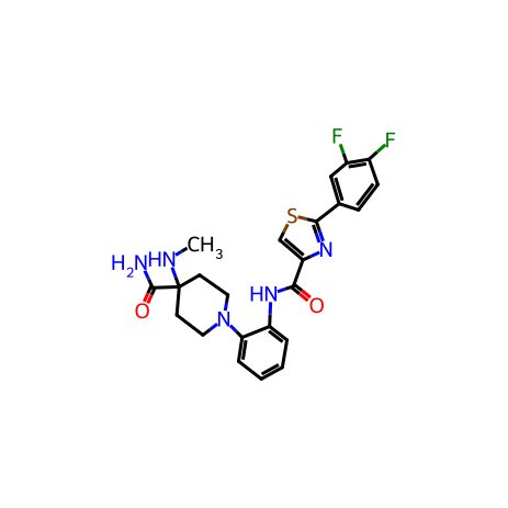 CNC1(C(N)=O)CCN(c2ccccc2NC(=O)c2csc(-c3ccc(F)c(F)c3)n2)CC1